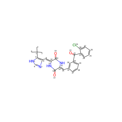 CC(C)(C)c1[nH]cnc1/C=c1\[nH]c(=O)/c(=C/c2cccc(C(=O)c3ccccc3Cl)c2)[nH]c1=O